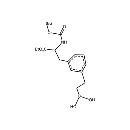 CCOC(=O)C(Cc1cccc(CCB(O)O)c1)NC(=O)OC(C)(C)C